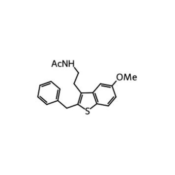 COc1ccc2sc(Cc3ccccc3)c(CCNC(C)=O)c2c1